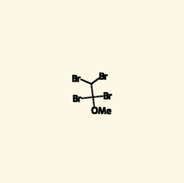 COC(Br)(Br)C(Br)Br